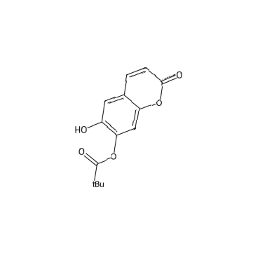 CC(C)(C)C(=O)Oc1cc2oc(=O)ccc2cc1O